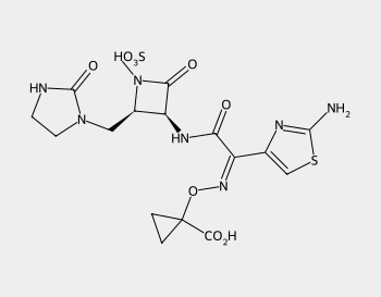 Nc1nc(C(=NOC2(C(=O)O)CC2)C(=O)N[C@@H]2C(=O)N(S(=O)(=O)O)[C@@H]2CN2CCNC2=O)cs1